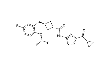 O=C(c1csc(NC(=O)[C@H]2C[C@H](Oc3cc(F)ccc3OC(F)F)C2)n1)C1CC1